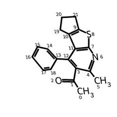 CC(=O)c1c(C)nc2sc3c(c2c1-c1ccccc1)CCC3